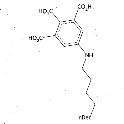 CCCCCCCCCCCCCCNc1cc(C(=O)O)c(C(=O)O)c(C(=O)O)c1